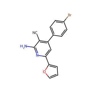 N#Cc1c(-c2ccc(Br)cc2)cc(-c2ccco2)nc1N